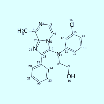 Cc1nccn2c(N(CCO)c3cccc(Cl)c3)c(-c3ccccc3)nc12